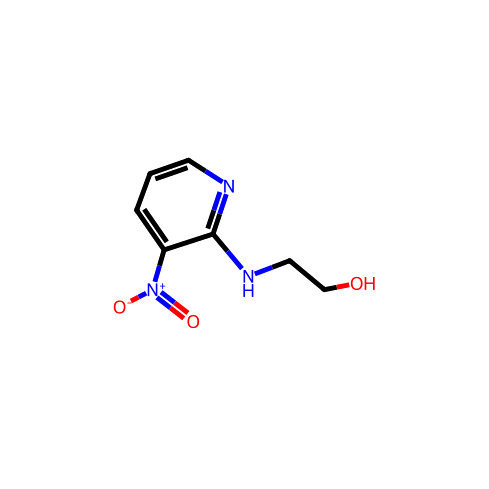 O=[N+]([O-])c1cccnc1NCCO